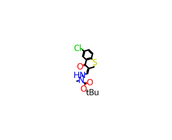 CN(N/C=C1/CSc2ccc(Cl)cc2C1=O)C(=O)OC(C)(C)C